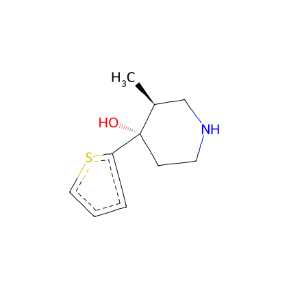 C[C@H]1CNCC[C@@]1(O)c1cccs1